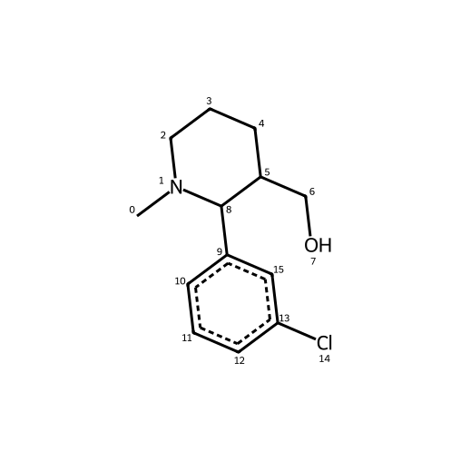 CN1CCCC(CO)C1c1cccc(Cl)c1